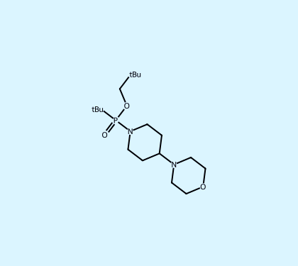 CC(C)(C)COP(=O)(N1CCC(N2CCOCC2)CC1)C(C)(C)C